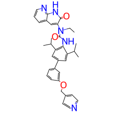 CCN(C(=O)Nc1c(C(C)C)cc(-c2cccc(OCc3ccncc3)c2)cc1C(C)C)c1cc2cccnc2[nH]c1=O